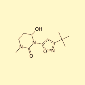 CN1CCC(O)N(c2cc(C(C)(C)C)no2)C1=O